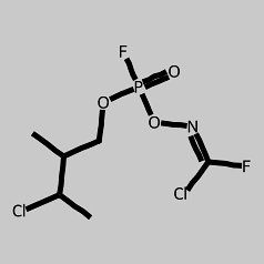 CC(Cl)C(C)COP(=O)(F)ON=C(F)Cl